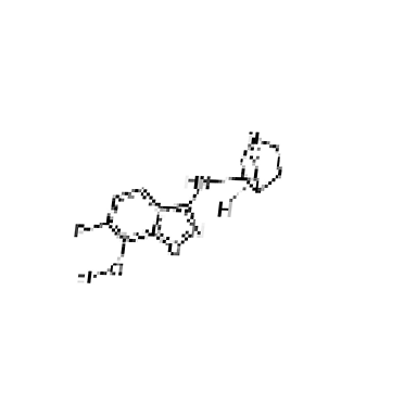 CCOc1c(F)ccc2c(N[C@H]3CN4CCC3CC4)noc12